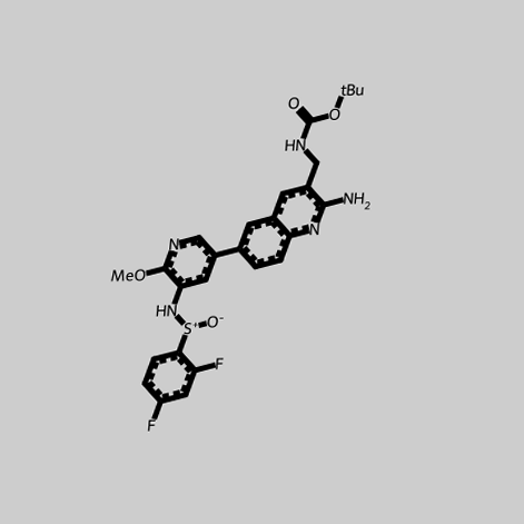 COc1ncc(-c2ccc3nc(N)c(CNC(=O)OC(C)(C)C)cc3c2)cc1N[S+]([O-])c1ccc(F)cc1F